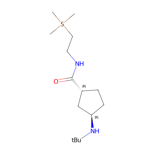 CC(C)(C)N[C@@H]1CC[C@@H](C(=O)NCCS(C)(C)C)C1